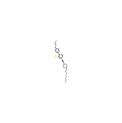 CCCCCCCCC1CCC(C#Cc2ccc(-c3ccc(CCCC)cc3)c(F)c2)CC1